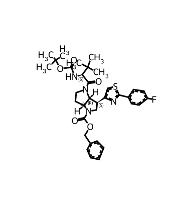 CC(C)(C)OC(=O)N[C@H](C(=O)N1CC[C@@H]2[C@H]1[C@@H](c1csc(-c3ccc(F)cc3)n1)CN2C(=O)OCc1ccccc1)C(C)(C)C